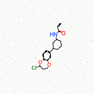 C=CC(=O)NC1CCCC(c2ccc3c(c2)OCCC(Cl)O3)C1